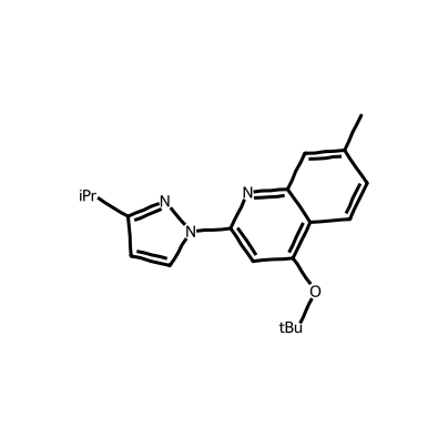 Cc1ccc2c(OC(C)(C)C)cc(-n3ccc(C(C)C)n3)nc2c1